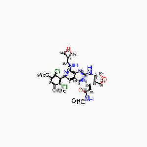 COc1cc(OC)c(Cl)c(-c2cc3cnc(N[C@@H]4COC[C@@H]4C=CC(=O)NC=O)nc3c(NCC3COC3)n2)c1Cl